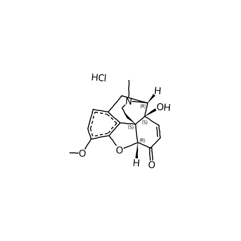 COc1ccc2c3c1O[C@H]1C(=O)C=C[C@@]4(O)[C@@H](C2)N(C)CC[C@]314.Cl